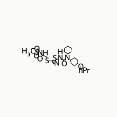 CCCO[C@H]1CC[C@H](N(C(=O)Nc2ncc(SCC(=O)NS(C)(=O)=O)s2)C2CCCCC2)CC1